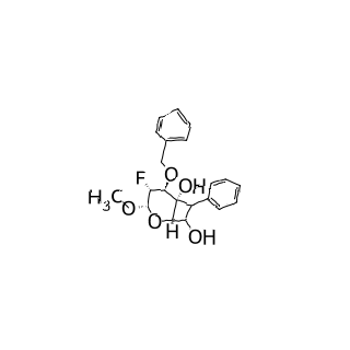 CO[C@H]1O[C@@H]2C(O)C(c3ccccc3)[C@]2(O)[C@H](OCc2ccccc2)[C@H]1F